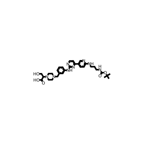 CC(C)(C)OC(=O)NCCCNc1ccc(-c2ccnc(Nc3cccc(CN4CCN(C(CO)C(=O)O)CC4)c3)n2)cn1